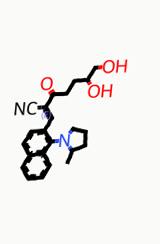 CC1CCCN1c1c(/C=C(\C#N)C(=O)CCC(O)CO)ccc2ccccc12